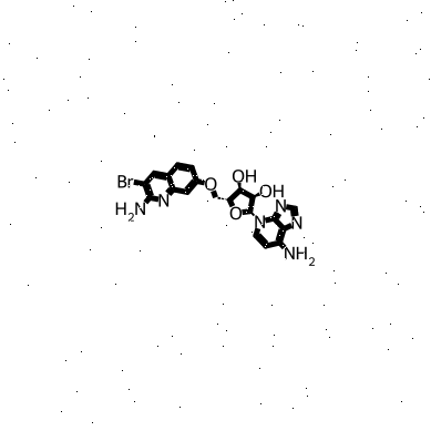 Nc1ccn([C@@H]2O[C@H](COc3ccc4cc(Br)c(N)nc4c3)[C@@H](O)[C@H]2O)c2ncnc1-2